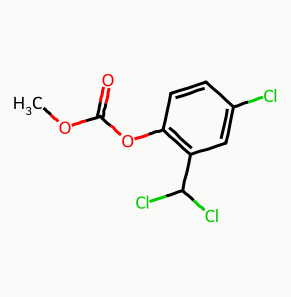 COC(=O)Oc1ccc(Cl)cc1C(Cl)Cl